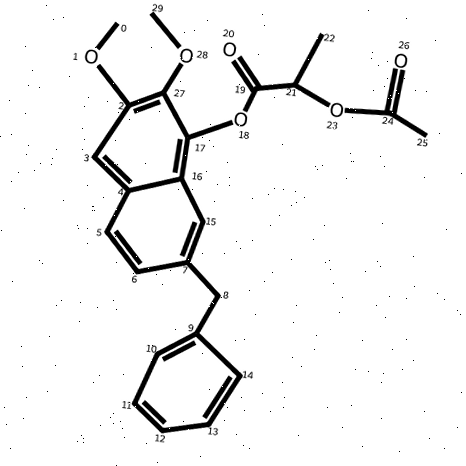 COc1cc2ccc(Cc3ccccc3)cc2c(OC(=O)C(C)OC(C)=O)c1OC